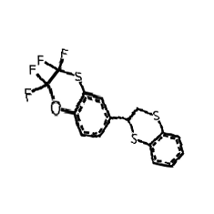 FC1(F)Oc2ccc(C3CSc4ccccc4S3)cc2SC1(F)F